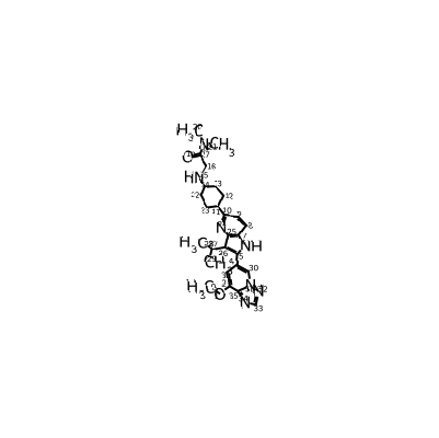 COc1cc(-c2[nH]c3ccc(C4CCC(NCC(=O)N(C)C)CC4)nc3c2C(C)C)cn2ncnc12